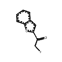 O=C(CF)c1cc2ccccc2o1